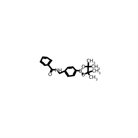 CC1(C)OB(c2ccc(CNC(=O)c3ccccc3)cc2)OC1(C)C